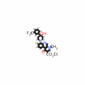 CCOC(=O)c1cn(C)c2cnc3c(N4CCC(O)(c5cccc(C(F)(F)F)c5)CC4)c(F)ccc3c2c1=O